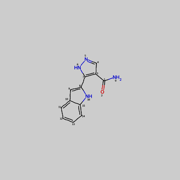 NC(=O)c1cn[nH]c1-c1cc2ccccc2[nH]1